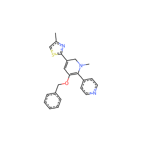 Cc1csc(C2=CC(OCc3ccccc3)=C(c3ccncc3)N(C)C2)n1